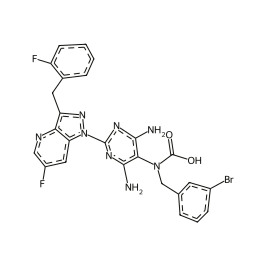 Nc1nc(-n2nc(Cc3ccccc3F)c3ncc(F)cc32)nc(N)c1N(Cc1cccc(Br)c1)C(=O)O